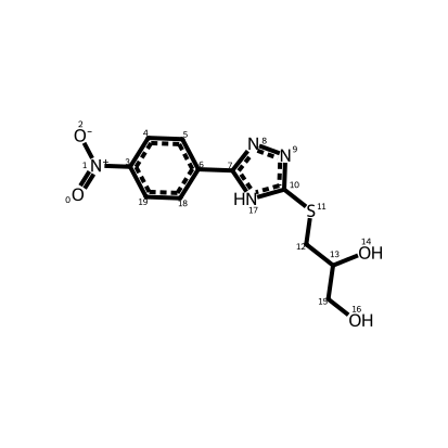 O=[N+]([O-])c1ccc(-c2nnc(SCC(O)CO)[nH]2)cc1